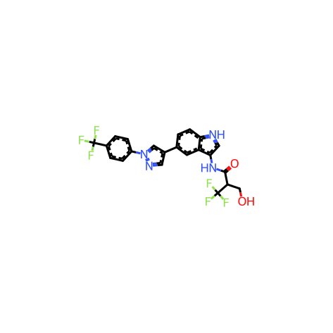 O=C(Nc1c[nH]c2ccc(-c3cnn(-c4ccc(C(F)(F)F)cc4)c3)cc12)C(CO)C(F)(F)F